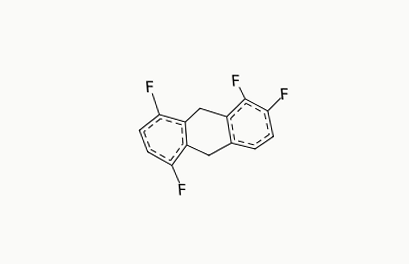 Fc1ccc2c(c1F)Cc1c(F)ccc(F)c1C2